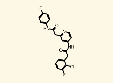 O=C(Cc1cc(NC(=O)Cc2cccc(F)c2Cl)ccn1)Nc1ccc(F)cc1